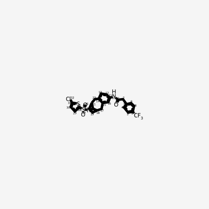 O=C(Cc1ccc(C(F)(F)F)cc1)Nc1ccc2c(c1)CC1CCC(C2)C1NS(=O)(=O)c1ccc(Cl)s1